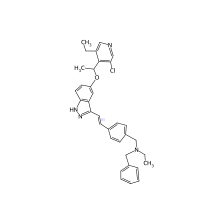 CCc1cncc(Cl)c1C(C)Oc1ccc2[nH]nc(/C=C/c3ccc(CN(CC)Cc4ccccc4)cc3)c2c1